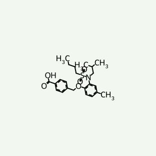 CCCCS(=O)(=O)N(CC(C)C)c1cc(C)ccc1OCc1ccc(C(=O)O)cc1